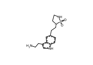 NCCc1c[nH]c2ccc(CCN3CCNS3(=O)=O)cc12